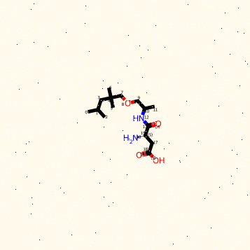 CC(C)CC(C)(C)COCC(C)NC(=O)[C@@H](N)CC(=O)O